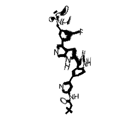 CC(C)(C)CC(=O)Nc1cncc(-c2ccc3[nH]nc(-c4cc5c(-c6cc(F)cc(CNS(C)(=O)=O)c6)cncc5[nH]4)c3c2)c1